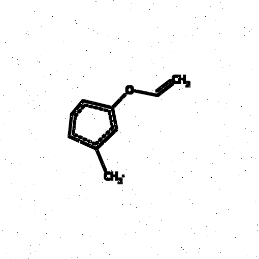 [CH2]c1cccc(OC=C)c1